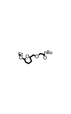 CCCCC(=O)COCC1CCCC(OCC)O1